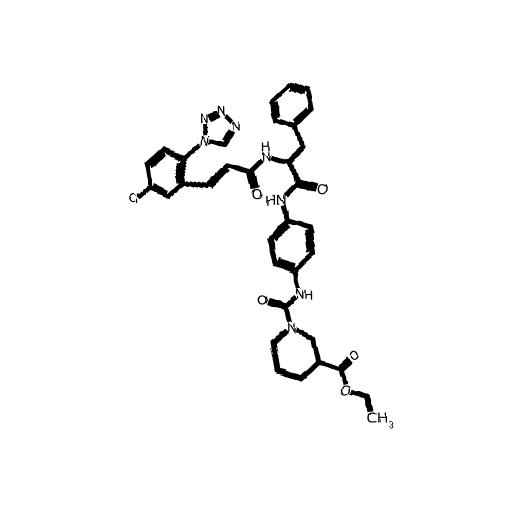 CCOC(=O)C1CCCN(C(=O)Nc2ccc(NC(=O)C(Cc3ccccc3)NC(=O)C=Cc3cc(Cl)ccc3-n3cnnn3)cc2)C1